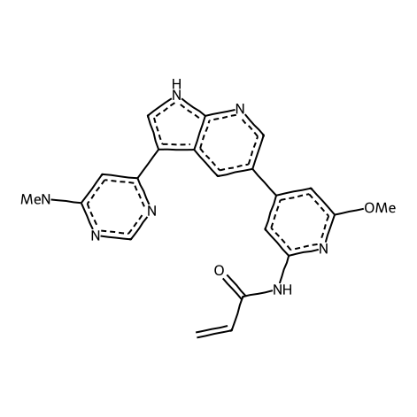 C=CC(=O)Nc1cc(-c2cnc3[nH]cc(-c4cc(NC)ncn4)c3c2)cc(OC)n1